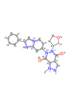 Cn1ncc2c(=O)n(C3CCOC3)n(-c3ccn4cc(-c5ccccc5)nc4c3)c(=O)c21